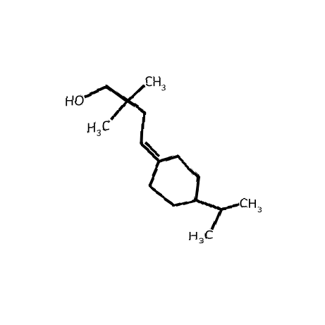 CC(C)C1CCC(=CCC(C)(C)CO)CC1